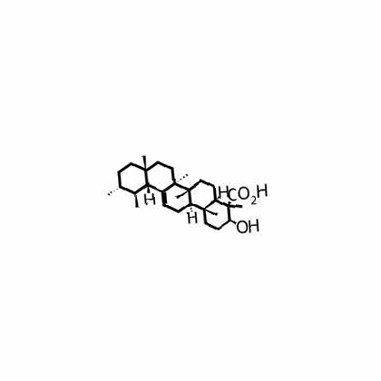 C[C@H]1[C@H](C)CC[C@]2(C)CC[C@]3(C)C(=CC[C@@H]4[C@@]5(C)CC[C@H](O)[C@](C)(C(=O)O)[C@@H]5CC[C@]43C)[C@H]12